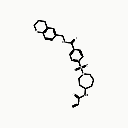 C=CC(=O)NC1CCCN(S(=O)(=O)c2ccc(C(=O)NCc3ccc4c(c3)CCCO4)cc2)CC1